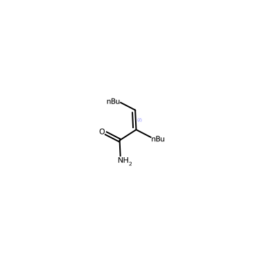 CCCC/C=C(/CCCC)C(N)=O